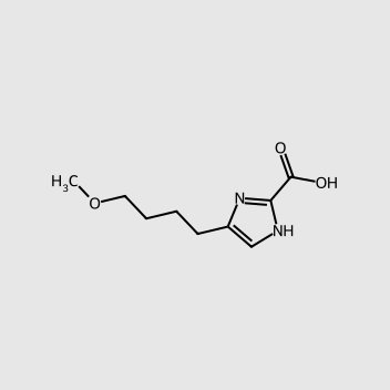 COCCCCc1c[nH]c(C(=O)O)n1